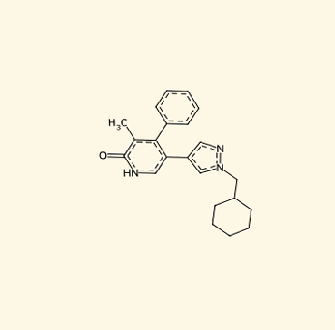 Cc1c(-c2ccccc2)c(-c2cnn(CC3CCCCC3)c2)c[nH]c1=O